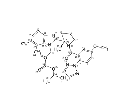 COc1ccc(-n2nccn2)c(C(=O)N2CCC[C@@]2(C)c2nc3ccc(Cl)c(C)c3n2COC(=O)OC(C)C)c1